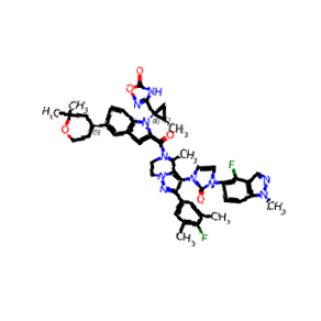 Cc1cc(-c2nn3c(c2-n2ccn(-c4ccc5c(cnn5C)c4F)c2=O)C(C)N(C(=O)c2cc4cc([C@H]5CCOC(C)(C)C5)ccc4n2[C@]2(c4noc(=O)[nH]4)C[C@@H]2C)CC3)cc(C)c1F